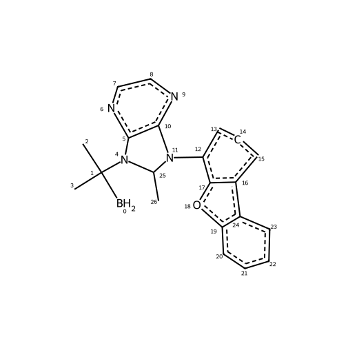 BC(C)(C)N1c2nccnc2N(c2cccc3c2oc2ccccc23)C1C